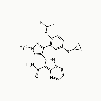 Cn1cc(-c2nn3cccnc3c2C(N)=O)c(-c2cc(SC3CC3)ccc2OC(F)F)n1